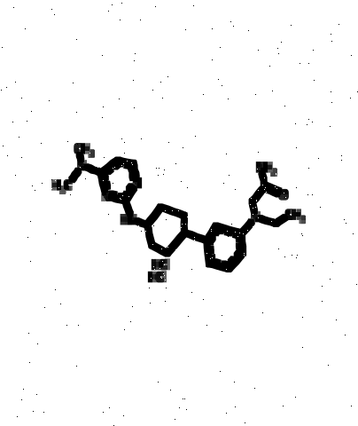 CCN(CC(N)=O)c1cccc(C2CCC(Nc3nccc(N(C)C)n3)CC2)c1.Cl.Cl